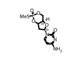 CSP1(=O)OC[C@H]2O[C@@H](n3ccc(N)nc3=O)CC2O1